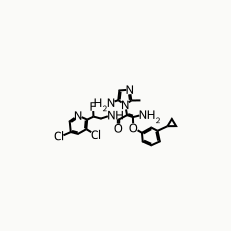 Cc1ncc(N)n1/C(C(=O)NCC(F)c1ncc(Cl)cc1Cl)=C(\N)Oc1cccc(C2CC2)c1